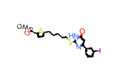 COC(=O)c1ccc(CCCCCSc2nc(-c3cccc(I)c3)cc(=O)[nH]2)s1